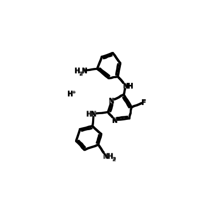 Nc1cccc(Nc2ncc(F)c(Nc3cccc(N)c3)n2)c1.[H+]